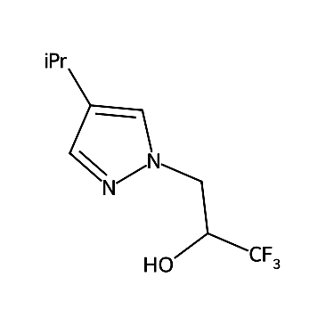 CC(C)c1cnn(CC(O)C(F)(F)F)c1